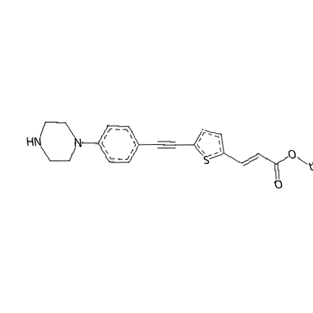 CC(C)(C)OC(=O)/C=C/c1ccc(C#Cc2ccc(N3CCNCC3)cc2)s1